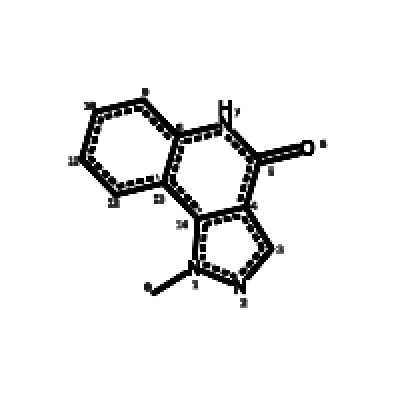 Cn1ncc2c(=O)[nH]c3ccccc3c21